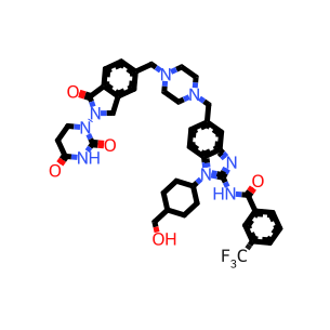 O=C1CCN(N2Cc3cc(CN4CCN(Cc5ccc6c(c5)nc(NC(=O)c5cccc(C(F)(F)F)c5)n6C5CCC(CO)CC5)CC4)ccc3C2=O)C(=O)N1